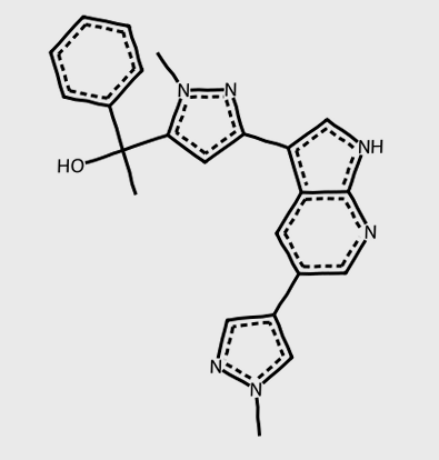 Cn1cc(-c2cnc3[nH]cc(-c4cc(C(C)(O)c5ccccc5)n(C)n4)c3c2)cn1